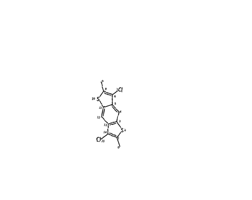 Cc1sc2cc3c(Cl)c(C)sc3cc2c1Cl